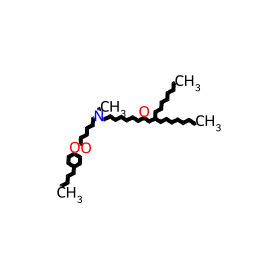 CCCCCCCCC(CCCCCCCC)CC(=O)CCCCCCCN(CC)CCCCCC(=O)OC1CCC(CCCCC)CC1